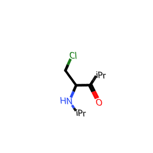 CC(C)NC(CCl)C(=O)C(C)C